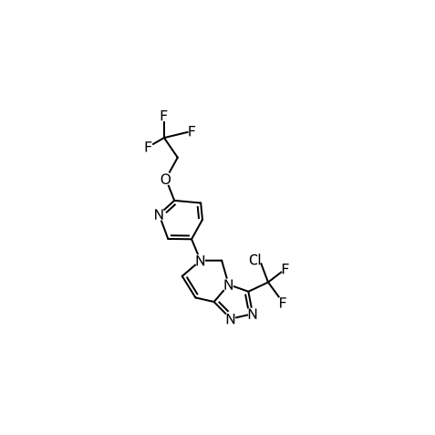 FC(F)(F)COc1ccc(N2C=Cc3nnc(C(F)(F)Cl)n3C2)cn1